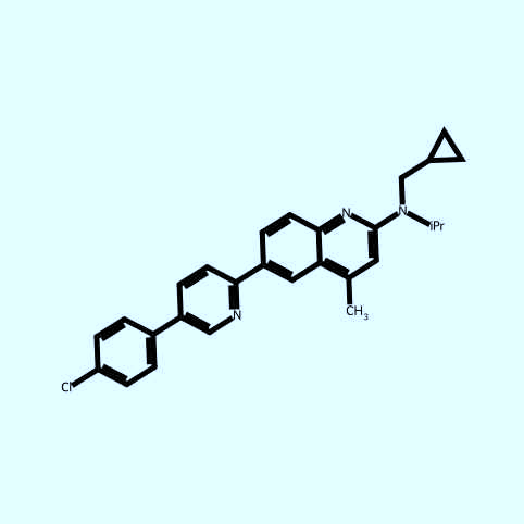 Cc1cc(N(CC2CC2)C(C)C)nc2ccc(-c3ccc(-c4ccc(Cl)cc4)cn3)cc12